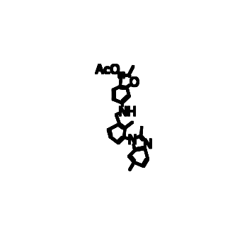 CC(=O)O[C@H]1c2ccc(NCc3cccc(-n4c(C)nc5ccc(C)cc54)c3C)cc2OC1C